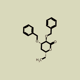 CC[C@@H]1C[C@H](OCc2ccccc2)[C@@H](OCc2ccccc2)C(=O)O1